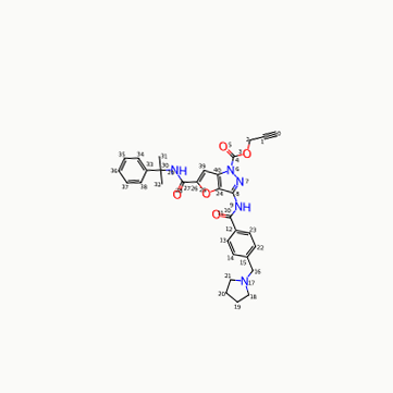 C#CCOC(=O)n1nc(NC(=O)c2ccc(CN3CCCC3)cc2)c2oc(C(=O)NC(C)(C)c3ccccc3)cc21